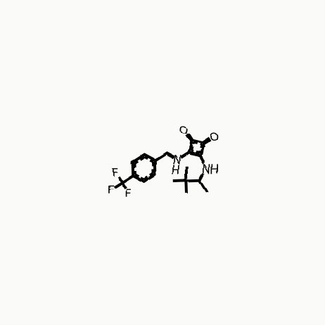 CC(Nc1c(NCc2ccc(C(F)(F)F)cc2)c(=O)c1=O)C(C)(C)C